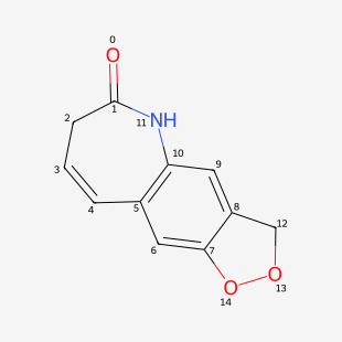 O=C1CC=Cc2cc3c(cc2N1)COO3